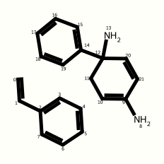 C=Cc1ccccc1.NC1=CCC(N)(c2ccccc2)C=C1